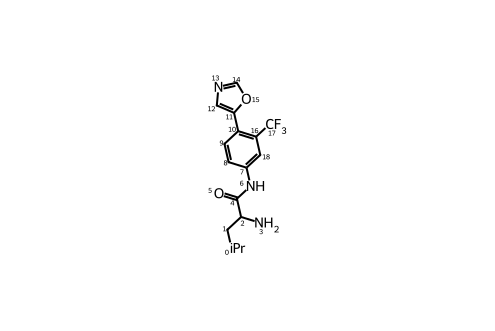 CC(C)CC(N)C(=O)Nc1ccc(-c2cnco2)c(C(F)(F)F)c1